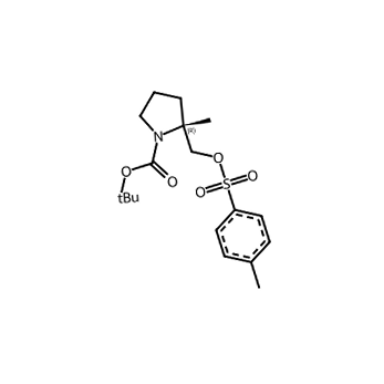 Cc1ccc(S(=O)(=O)OC[C@@]2(C)CCCN2C(=O)OC(C)(C)C)cc1